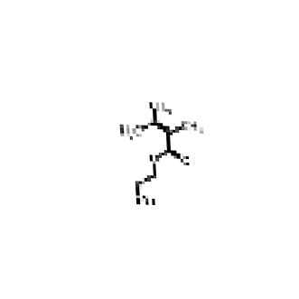 CC(C)=C(C)C(=O)OCCC(C)(C)C